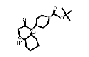 CC(C)(C)OC(=O)N1CCC(N2C(=O)CO[C@@H]3CCCC[C@H]32)CC1